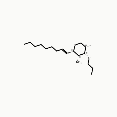 CCCCCCCC=C[C@@H]1OC[C@H](C)[C@H](OCCC)[C@@H]1N